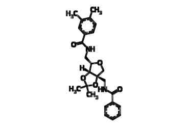 Cc1ccc(C(=O)NC[C@H]2OC[C@]3(CNC(=O)c4ccccc4)OC(C)(C)O[C@H]23)cc1C